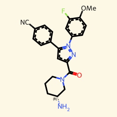 COc1ccc(-n2nc(C(=O)N3CCC[C@@H](N)C3)cc2-c2ccc(C#N)cc2)cc1F